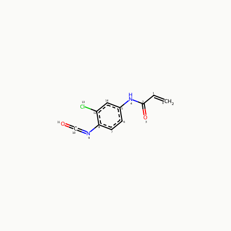 C=CC(=O)Nc1ccc(N=C=O)c(Cl)c1